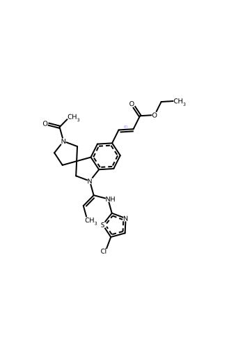 CC=C(Nc1ncc(Cl)s1)N1CC2(CCN(C(C)=O)C2)c2cc(/C=C/C(=O)OCC)ccc21